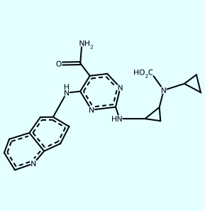 NC(=O)c1cnc(NC2CC2N(C(=O)O)C2CC2)nc1Nc1ccc2ncccc2c1